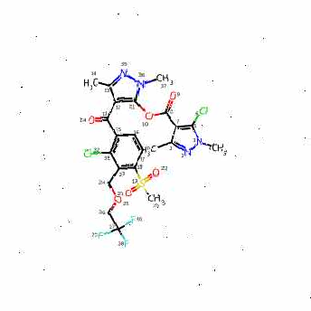 Cc1nn(C)c(Cl)c1C(=O)Oc1c(C(=O)c2ccc(S(C)(=O)=O)c(COCC(F)(F)F)c2Cl)c(C)nn1C